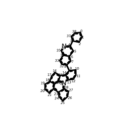 c1ccc(-c2cc3cc(-c4cccc5c4c4ccc6cccc7c8ccccc8n5c4c67)ccc3cn2)cc1